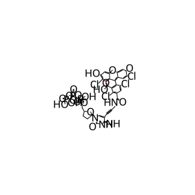 N=c1[nH]c(=O)n(C2CCC(COP(=O)(O)OP(=O)(O)OP(=O)(O)O)O2)cc1C#CCNC(=O)c1cc(Cl)c(-c2c3cc(Cl)c(=O)cc-3oc3cc(O)c(Cl)cc23)c(C(=O)O)c1Cl